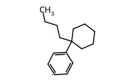 CCCCC1(c2cc[c]cc2)CCCCC1